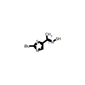 CCC(C)c1ncc(/C(C)=N/S)s1